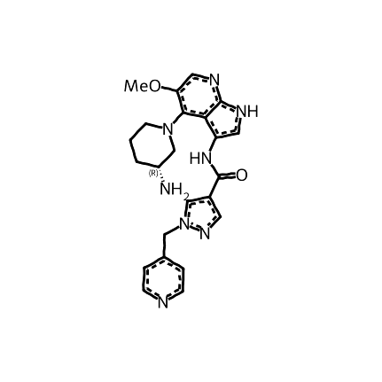 COc1cnc2[nH]cc(NC(=O)c3cnn(Cc4ccncc4)c3)c2c1N1CCC[C@@H](N)C1